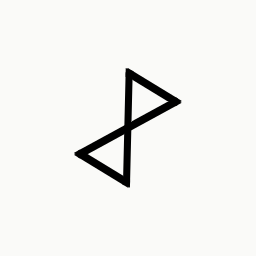 C1CC12CC2